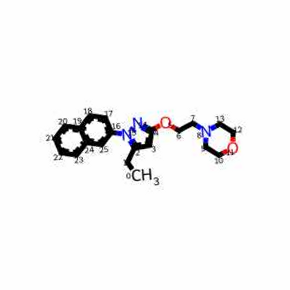 CCc1cc(OCCN2CCOCC2)nn1-c1ccc2ccccc2c1